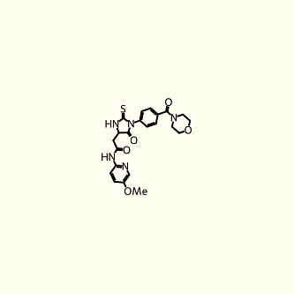 COc1ccc(NC(=O)CC2NC(=S)N(c3ccc(C(=O)N4CCOCC4)cc3)C2=O)nc1